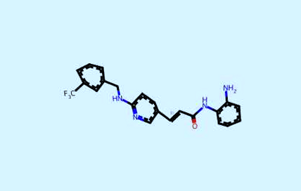 Nc1ccccc1NC(=O)/C=C/c1ccc(NCc2cccc(C(F)(F)F)c2)nc1